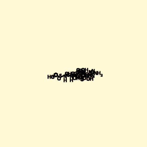 CC(C)(COP(=O)(O)OP(=O)(O)OC[C@H]1O[C@@H](n2cnc3c(N)ncnc32)[C@H](O)[C@@H]1OP(=O)(O)O)C(O)C(=O)NCCC(=O)NCCSC(=O)c1cccc(O)c1